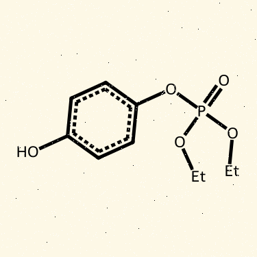 CCOP(=O)(OCC)Oc1ccc(O)cc1